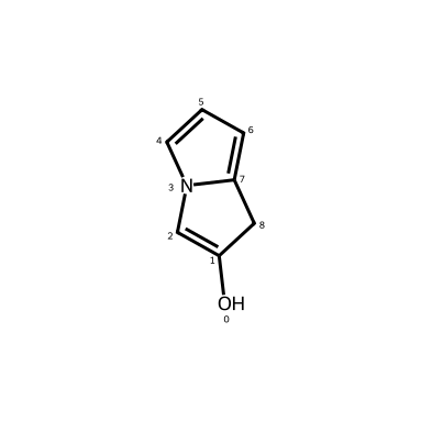 OC1=Cn2cccc2C1